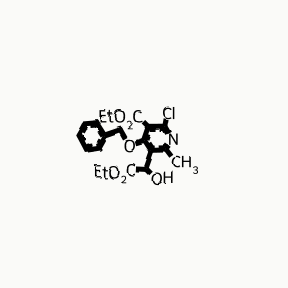 CCOC(=O)c1c(Cl)nc(C)c(C(O)C(=O)OCC)c1OCc1ccccc1